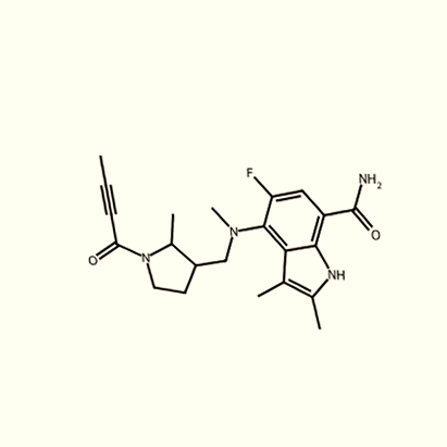 CC#CC(=O)N1CCC(CN(C)c2c(F)cc(C(N)=O)c3[nH]c(C)c(C)c23)C1C